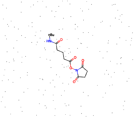 CCCCNC(=O)CCCC(=O)ON1C(=O)CCC1=O